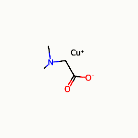 CN(C)CC(=O)[O-].[Cu+]